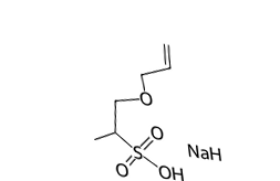 C=CCOCC(C)S(=O)(=O)O.[NaH]